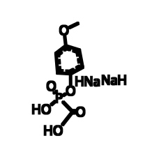 COc1ccc(OP(=O)(O)C(=O)O)cc1.[NaH].[NaH]